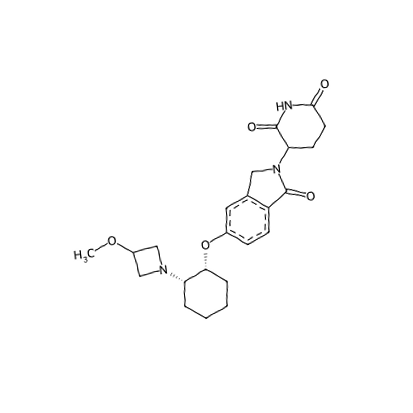 COC1CN([C@H]2CCCC[C@H]2Oc2ccc3c(c2)CN(C2CCC(=O)NC2=O)C3=O)C1